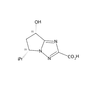 CC(C)[C@@H]1C[C@H](O)c2nc(C(=O)O)nn21